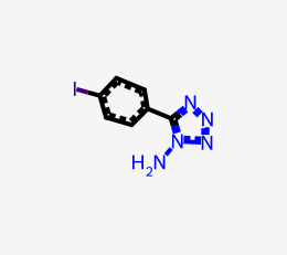 Nn1nnnc1-c1ccc(I)cc1